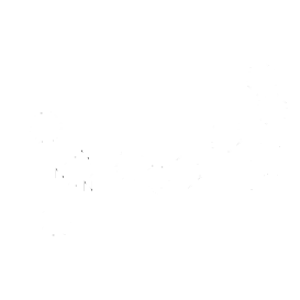 Cc1cccc(-c2nc(-c3ccccc3)nc(-c3ccc4c(c3)sc3ccc(-c5ccc6c(c5)C5(c7ccc8ccccc8c7-6)C6CC7CC(C6)CC5C7)cc34)n2)c1